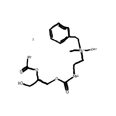 CCCCCCCCCC[N+](C)(CCNC(=O)OCC(CO)OC(=O)C(C)C)Cc1ccccc1.[I-]